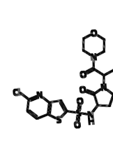 CC(C(=O)N1CCOCC1)N1CCC(NS(=O)(=O)c2cc3nc(Cl)ccc3s2)C1=O